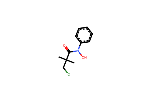 CC(C)(CCl)C(=O)N(O)c1ccccc1